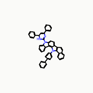 C1=C(c2ccccc2)N=C(n2c3ccccc3c3c2ccc2c4ccc5ccccc5c4n(-c4ccc(-c5ccccc5)cc4)c23)NC1c1ccccc1